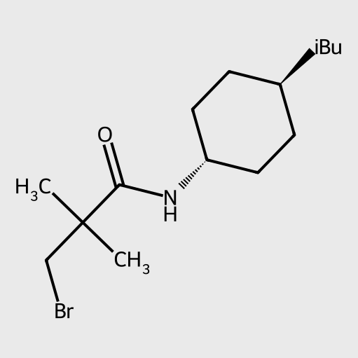 CCC(C)[C@H]1CC[C@H](NC(=O)C(C)(C)CBr)CC1